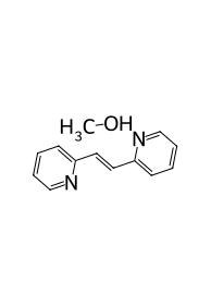 C(=Cc1ccccn1)c1ccccn1.CO